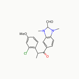 COc1ccc(C(C)C(=O)c2ccc3c(c2)N(C)C(C=O)N3C)c(Cl)c1